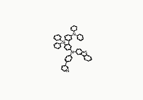 c1ccc(N(c2ccccc2)c2ccc3c(c2)-c2cc(N(c4ccc(-c5cccnc5)cc4)c4ccc5sc6ccccc6c5c4)ccc2[Si]3(c2ccccc2)c2ccccc2)cc1